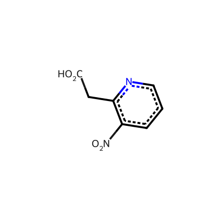 O=C(O)Cc1ncccc1[N+](=O)[O-]